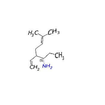 C=CC(CC=C(C)C)[C@@H](N)CC